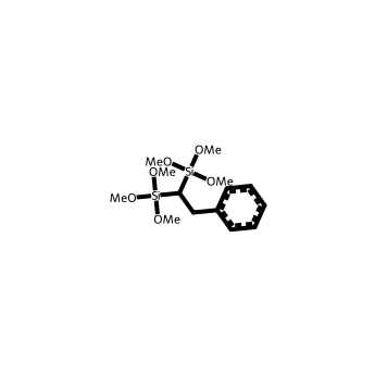 CO[Si](OC)(OC)C(Cc1ccccc1)[Si](OC)(OC)OC